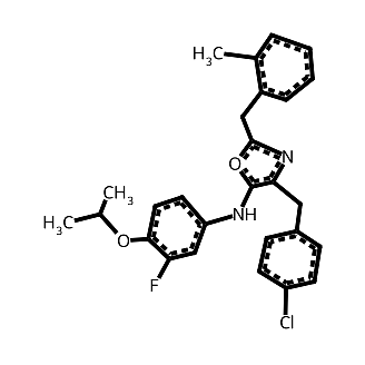 Cc1ccccc1Cc1nc(Cc2ccc(Cl)cc2)c(Nc2ccc(OC(C)C)c(F)c2)o1